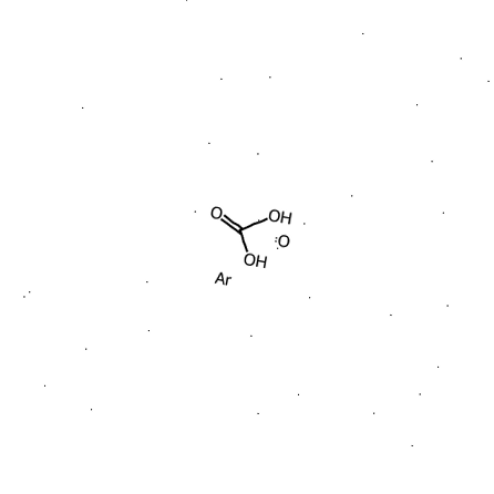 O=C(O)O.[Ar].[O]